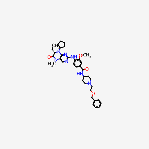 CC[C@@H]1C(=O)N(C)c2cnc(Nc3ccc(C(=O)NC4CCN(CCOCc5ccccc5)CC4)cc3OC)nc2N1C1CCCC1